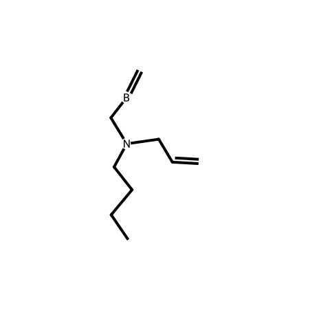 C=BCN(CC=C)CCCC